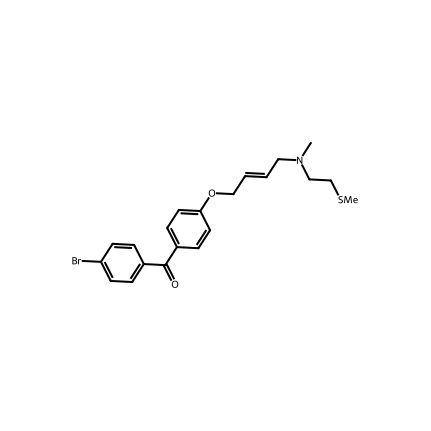 CSCCN(C)C/C=C/COc1ccc(C(=O)c2ccc(Br)cc2)cc1